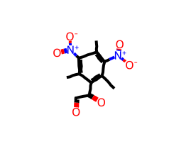 Cc1c(C(=O)C=O)c(C)c([N+](=O)[O-])c(C)c1[N+](=O)[O-]